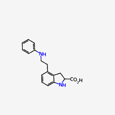 O=C(O)C1Cc2c(CCNc3ccccc3)cccc2N1